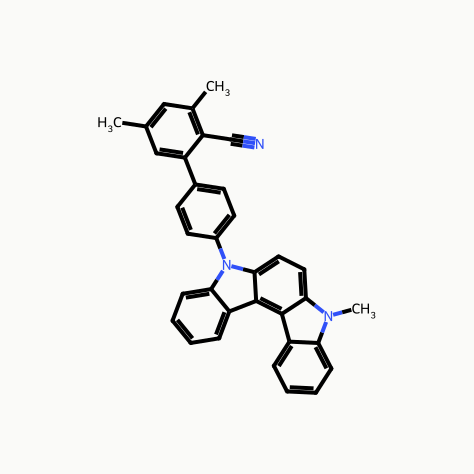 Cc1cc(C)c(C#N)c(-c2ccc(-n3c4ccccc4c4c5c6ccccc6n(C)c5ccc43)cc2)c1